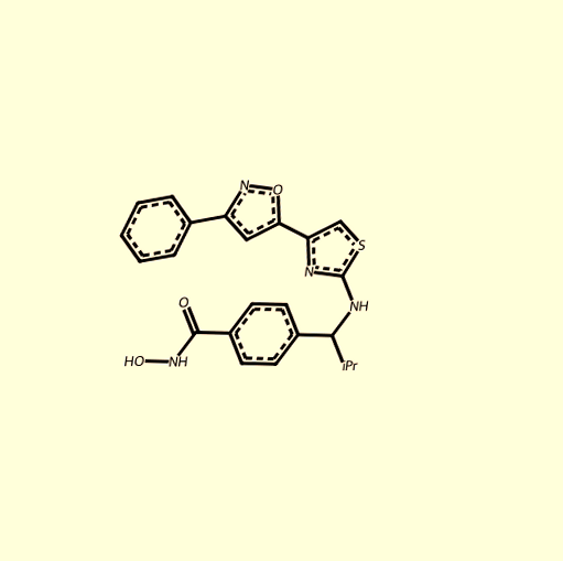 CC(C)C(Nc1nc(-c2cc(-c3ccccc3)no2)cs1)c1ccc(C(=O)NO)cc1